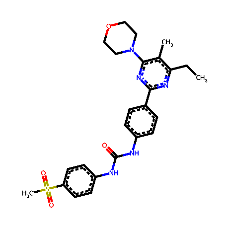 CCc1nc(-c2ccc(NC(=O)Nc3ccc(S(C)(=O)=O)cc3)cc2)nc(N2CCOCC2)c1C